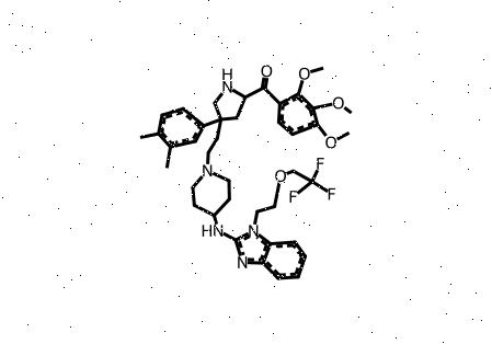 COc1ccc(C(=O)C2CC(CCN3CCC(Nc4nc5ccccc5n4CCOCC(F)(F)F)CC3)(c3ccc(C)c(C)c3)CN2)c(OC)c1OC